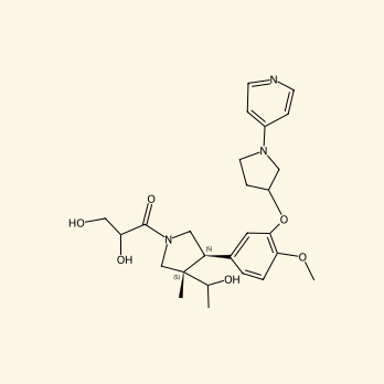 COc1ccc([C@@H]2CN(C(=O)C(O)CO)C[C@@]2(C)C(C)O)cc1OC1CCN(c2ccncc2)C1